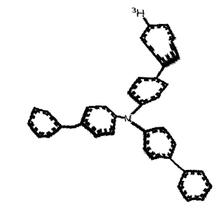 [3H]c1cccc(-c2ccc(N(c3ccc(-c4ccccc4)cc3)c3ccc(-c4ccccc4)cc3)cc2)c1